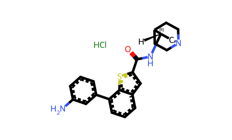 Cl.Nc1cccc(-c2cccc3cc(C(=O)N[C@H]4CN5CCC4CC5)sc23)c1